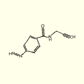 C#CCNC(=O)c1ccc(N=N)cc1